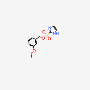 CCOc1cccc(COS(=O)(=O)c2ncc[nH]2)c1